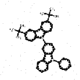 CC(C)(C)c1ccc2c(c1)c1cc(C(C)(C)C)ccc1n2-c1ccc2c(c1)c1ccccc1n2-c1ccccc1